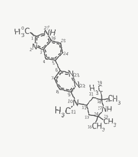 Cc1nc2cc(-c3ccc(N(C)C4CC(C)(C)NC(C)(C)C4)nn3)ccc2[nH]1